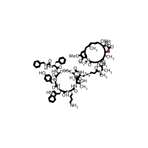 COc1cc2cc(c1Cl)N(C)C(=O)C[C@H](OC(=O)[C@H](C)N(C)C(=O)CCSSC[C@H](NC(=O)[C@@H]1CSSC[C@H](NC(=O)[C@@H](Cc3ccccc3)NC(=O)NCc3ccccc3)C(=O)N[C@@H](Cc3ccc(O)cc3)C(=O)N[C@H](Cc3c[nH]c4ccccc34)C(=O)N[C@@H](CCCCN)C(=O)N[C@@H]([C@@H](C)O)C(=O)N1)C(N)=O)[C@]1(C)OC1[C@H](C)[C@@H]1C[C@@](O)(NC(=O)O1)[C@H](OC)/C=C/C=C(\C)C2